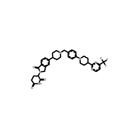 O=C1CCC(N2Cc3cc(C4CCN(Cc5ccc(N6CCC(c7nccc(C(F)(F)F)n7)CC6)cc5)CC4)ccc3C2=O)C(=O)N1